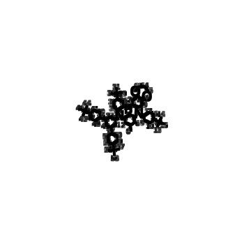 Cc1cc2c3c(c1)N(c1ccc(C(C)(C)C)cc1)c1cc4c(cc1B3c1cc(C(C)(C)C)ccc1N2c1cc(-c2ccc(C(C)(C)C)cc2)cc(-c2ccc(C(C)(C)C)cc2)c1)OCCCO4